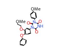 COCCOc1cc(-n2c(=O)[nH]c(=O)n(-c3ccc(OC)cc3)c2=O)ccc1Oc1ccccc1